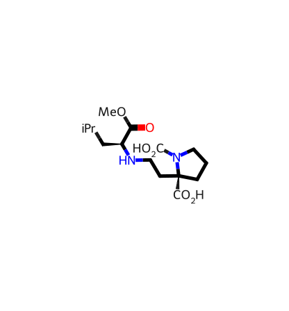 COC(=O)[C@H](CC(C)C)NCC[C@@]1(C(=O)O)CCCN1C(=O)O